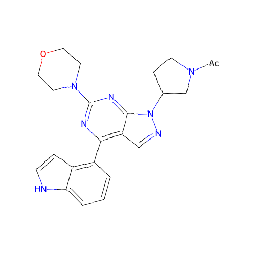 CC(=O)N1CCC(n2ncc3c(-c4cccc5[nH]ccc45)nc(N4CCOCC4)nc32)C1